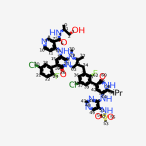 CC(CO)NC(=O)c1cnccc1Nc1cc(-c2cc(Cl)ccc2F)c(=O)n2c1N(C)C(C)C(Cc1cc(Cl)cc(-c3cc(Nc4ncncc4NS(C)(=O)=O)c(C(C)C)[nH]c3=O)c1F)C2